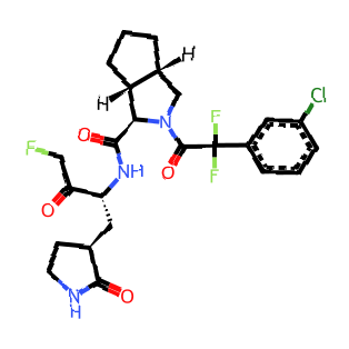 O=C1NCC[C@H]1C[C@@H](NC(=O)[C@H]1[C@@H]2CCC[C@@H]2CN1C(=O)C(F)(F)c1cccc(Cl)c1)C(=O)CF